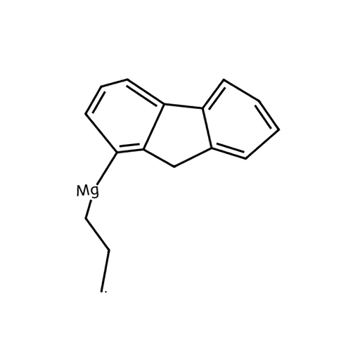 [CH2]C[CH2][Mg][c]1cccc2c1Cc1ccccc1-2